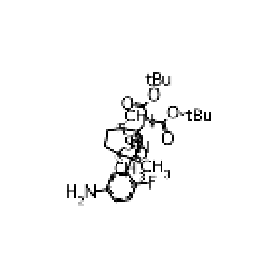 CC(C)(C)OC(=O)N(C(=O)OC(C)(C)C)C1=N[C@](C)(c2cc(N)ccc2F)[C@@]2(C)CC[C@]1(C)S2(=O)=O